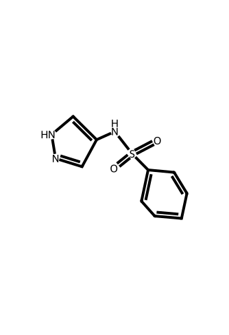 O=S(=O)(Nc1cn[nH]c1)c1ccccc1